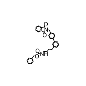 O=C(NCCCCc1cccc(-c2ccc(CN3C(=O)c4ccccc4C3=O)cc2)c1)OCc1ccccc1